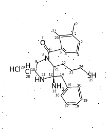 Cc1cccc(C(=O)N2CCN[C@@](N)(Cc3ccccc3)C2CCCS)c1C.Cl.Cl